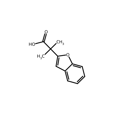 CC(C)(C(=O)O)c1cc2ccccc2o1